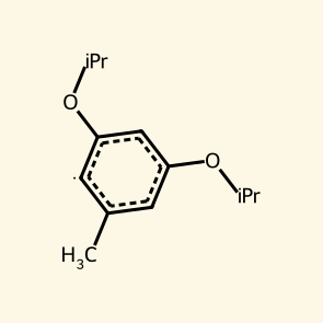 Cc1[c]c(OC(C)C)cc(OC(C)C)c1